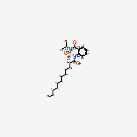 CCCCCCCCCCCC(=O)N1c2ccccc2C(=O)N(C(C)C)S1(=O)=O